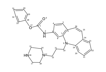 O=C(Nc1ccc2c(c1)N(CCCN1CCNCC1)c1ccccc1C=C2)Oc1ccccc1